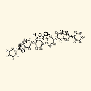 CC1(C)c2cc(-c3cnc4nc(-c5ccccc5)oc4c3)ccc2-c2ccc(-c3cnc4nc(-c5ccccc5)oc4c3)cc21